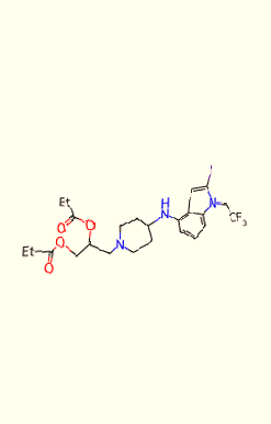 CCC(=O)OCC(CN1CCC(Nc2cccc3c2cc(I)n3CC(F)(F)F)CC1)OC(=O)CC